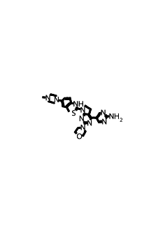 Cc1cc(N2CCN(C)CC2)ccc1NC(=S)N1CCc2c(-c3cnc(N)nc3)nc(N3CCOCC3)nc21